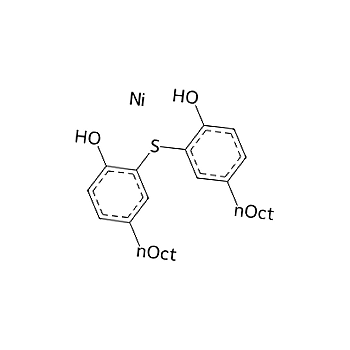 CCCCCCCCc1ccc(O)c(Sc2cc(CCCCCCCC)ccc2O)c1.[Ni]